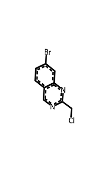 ClCc1ncc2ccc(Br)cc2n1